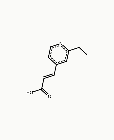 CCc1cc(C=CC(=O)O)ccn1